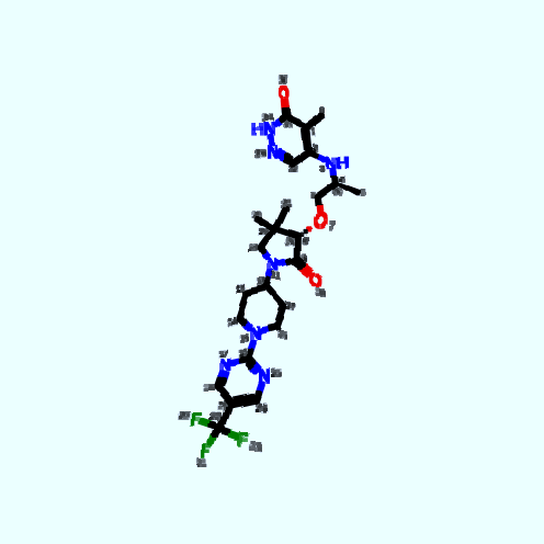 Cc1c(N[C@@H](C)CO[C@@H]2C(=O)N(C3CCN(c4ncc(C(F)(F)F)cn4)CC3)CC2(C)C)cn[nH]c1=O